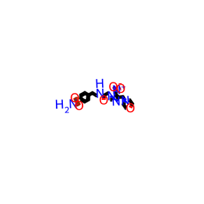 NS(=O)(=O)c1ccc(CCNC(=O)Cn2cnc(CN3CCOCC3)c2[N+](=O)[O-])cc1